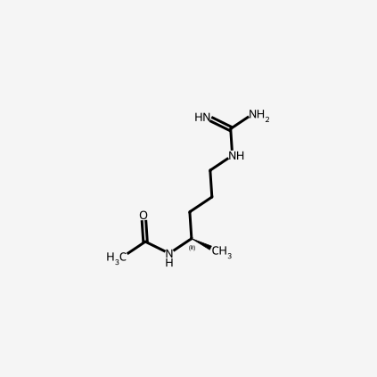 CC(=O)N[C@H](C)CCCNC(=N)N